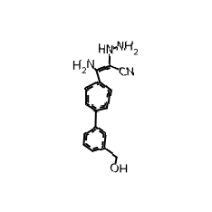 N#C/C(NN)=C(/N)c1ccc(-c2cccc(CO)c2)cc1